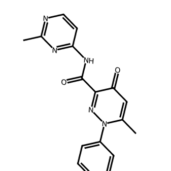 Cc1nccc(NC(=O)c2nn(-c3ccccc3)c(C)cc2=O)n1